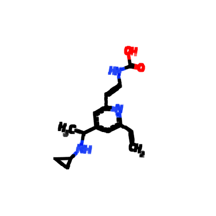 C=Cc1cc(C(C)NC2CC2)cc(C=CNC(=O)O)n1